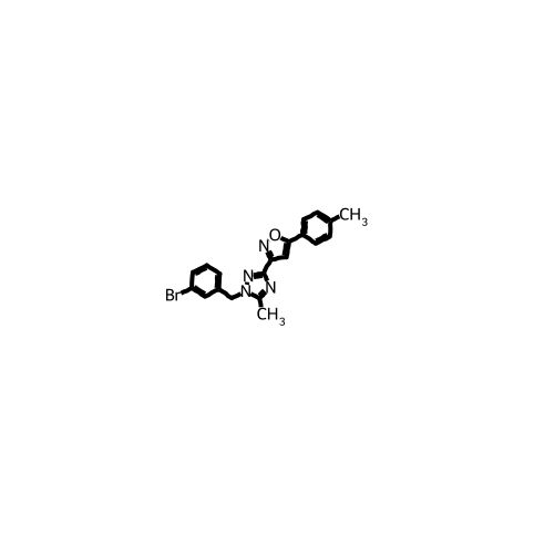 Cc1ccc(-c2cc(-c3nc(C)n(Cc4cccc(Br)c4)n3)no2)cc1